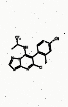 C[C@H](Nc1c(-c2ccc(C#N)cc2F)c(Cl)nc2ncnn12)C(F)(F)F